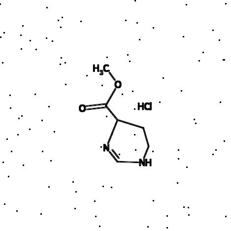 COC(=O)C1CCNC=N1.Cl